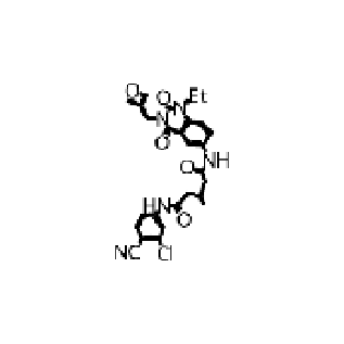 CCn1c(=O)n(CC2COC2)c(=O)c2cc(NC(=O)CC(C)CC(=O)Nc3ccc(C#N)c(Cl)c3)ccc21